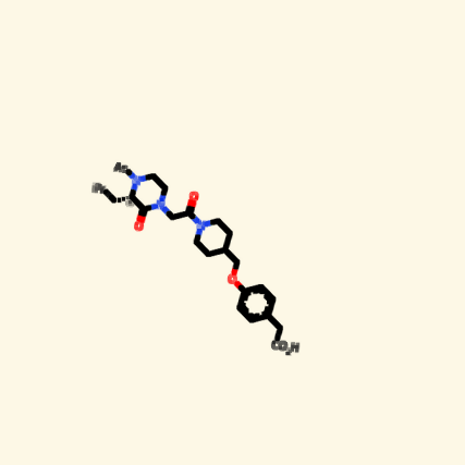 CC(=O)N1CCN(CC(=O)N2CCC(COc3ccc(CC(=O)O)cc3)CC2)C(=O)[C@@H]1CC(C)C